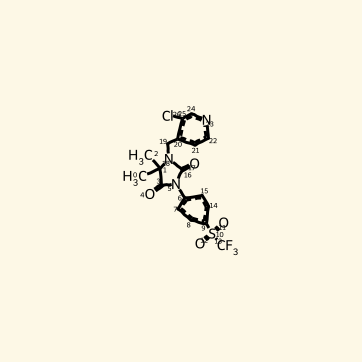 CC1(C)C(=O)N(c2ccc(S(=O)(=O)C(F)(F)F)cc2)C(=O)N1Cc1ccncc1Cl